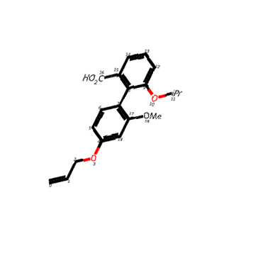 C=CCOc1ccc(-c2c(OC(C)C)cccc2C(=O)O)c(OC)c1